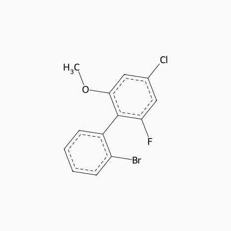 COc1cc(Cl)cc(F)c1-c1ccccc1Br